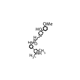 COc1cccc(C2(O)CCN(CCCNC(=O)Nc3cccc(C4C=C(C)NC(C)=C4)c3)CC2)c1